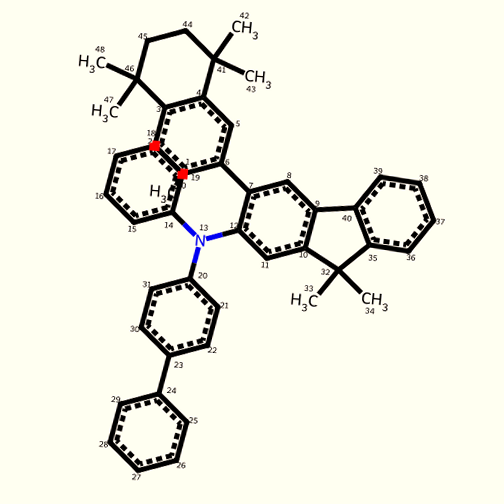 Cc1cc2c(cc1-c1cc3c(cc1N(c1ccccc1)c1ccc(-c4ccccc4)cc1)C(C)(C)c1ccccc1-3)C(C)(C)CCC2(C)C